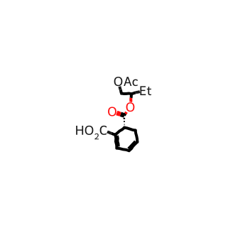 CCC(COC(C)=O)OC(=O)[C@@H]1CC=CC=C1C(=O)O